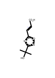 CC(C)(O)c1noc(/C=C/C(=O)O)n1